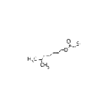 CC(C)CCCCCOC(=O)C[S]